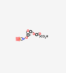 Cc1cc(OCCN2CCS(O)(O)CC2)cc2c1-c1cc(COc3ccc4c(c3)CO[C@H]4C(C)C(=O)O)ccc1OCC2